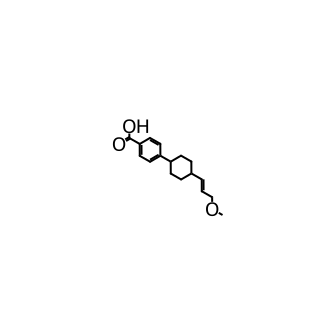 COCC=CC1CCC(c2ccc(C(=O)O)cc2)CC1